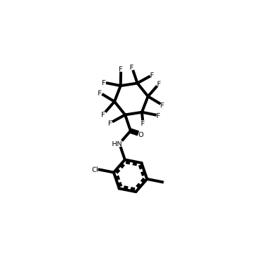 Cc1ccc(Cl)c(NC(=O)C2(F)C(F)(F)C(F)(F)C(F)(F)C(F)(F)C2(F)F)c1